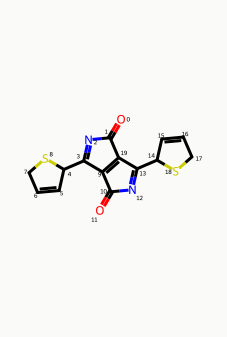 O=c1nc(C2C=CCS2)c2c(=O)nc(C3C=CCS3)c1=2